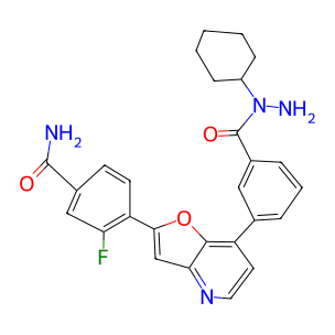 NC(=O)c1ccc(-c2cc3nccc(-c4cccc(C(=O)N(N)C5CCCCC5)c4)c3o2)c(F)c1